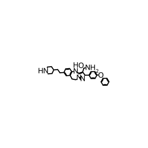 NC(=O)c1c(-c2ccc(Oc3ccccc3)cc2)nn2c1Nc1ccc(CCC3CCNCC3)cc1CC2